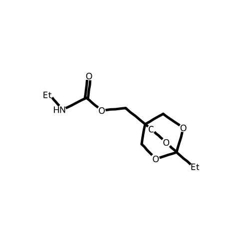 CCNC(=O)OCC12COC(CC)(OC1)OC2